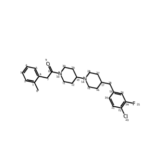 Cc1ccccc1CC(=O)N1CCC(N2CCC(Cc3ccc(Cl)c(F)c3)CC2)CC1